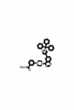 COC(=O)c1cccc(N2CCN(c3ncnc4ccc(-c5cnn(C(c6ccccc6)(c6ccccc6)c6ccccc6)c5)cc34)CC2)c1